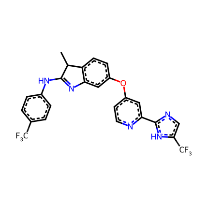 CC1C(Nc2ccc(C(F)(F)F)cc2)=Nc2cc(Oc3ccnc(-c4ncc(C(F)(F)F)[nH]4)c3)ccc21